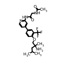 CC(=O)NCC(=O)Nc1cc(-c2ccc(OCC(C)(N)CC(C)C)c(C(F)(F)F)c2)ccn1